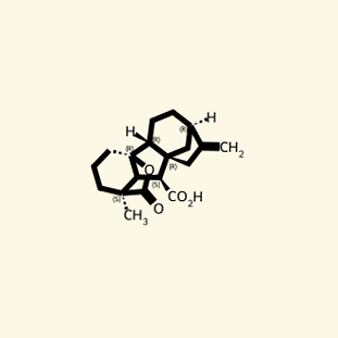 C=C1C[C@]23C[C@H]1CC[C@H]2[C@@]12CCC[C@](C)(C(=O)O1)C2[C@@H]3C(=O)O